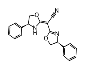 N#CC(C1=N[C@@H](c2ccccc2)CO1)=C1N[C@@H](c2ccccc2)CO1